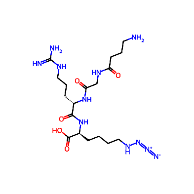 [N-]=[N+]=NNCCCC[C@H](NC(=O)[C@H](CCCNC(=N)N)NC(=O)CNC(=O)CCCN)C(=O)O